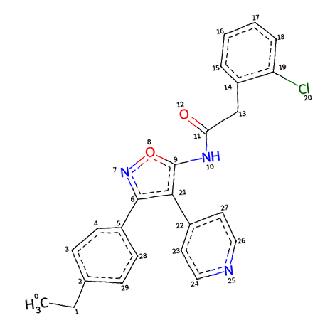 CCc1ccc(-c2noc(NC(=O)Cc3ccccc3Cl)c2-c2ccncc2)cc1